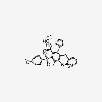 COc1ccc(S(=O)(=O)c2c(C)c(N)c(Cc3cccnc3)c(-c3cccs3)c2C(=O)NO)cc1.Cl